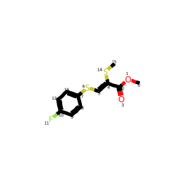 COC(=O)C(=CSc1ccc(F)cc1)SC